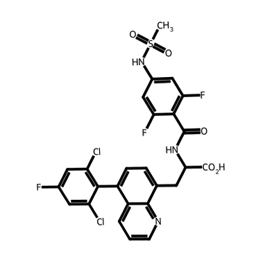 CS(=O)(=O)Nc1cc(F)c(C(=O)NC(Cc2ccc(-c3c(Cl)cc(F)cc3Cl)c3cccnc23)C(=O)O)c(F)c1